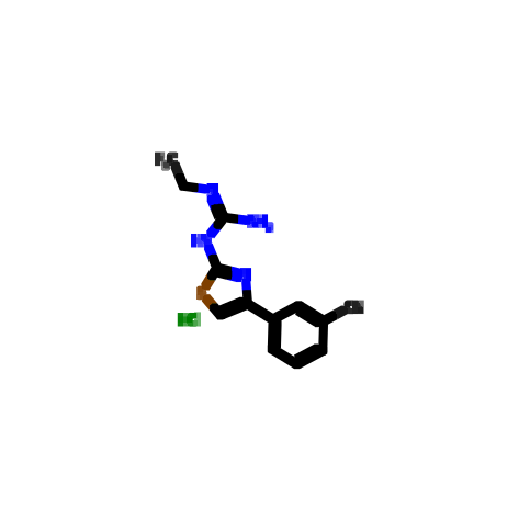 Cl.N#Cc1cccc(-c2csc(N/C(N)=N\CC(F)(F)F)n2)c1